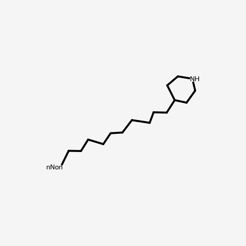 [CH2]CCCCCCCCCCCCCCCCCCC1CCNCC1